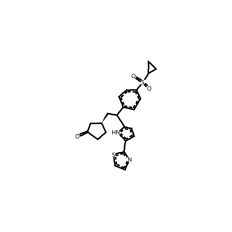 O=C1CC[C@H](CC(c2ccc(S(=O)(=O)C3CC3)cc2)c2ccc(-c3nccs3)[nH]2)C1